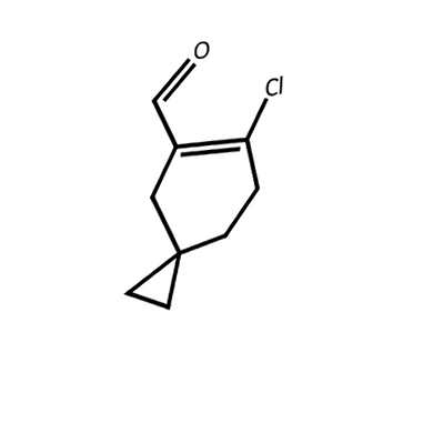 O=CC1=C(Cl)CCC2(CC2)C1